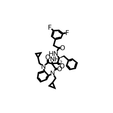 NC1(C(=O)[C@H](Cc2ccccc2)NC(=O)Cc2cc(F)cc(F)c2)C(=O)N(CC2CC2)c2ccccc2N(CC2CC2)C1=O